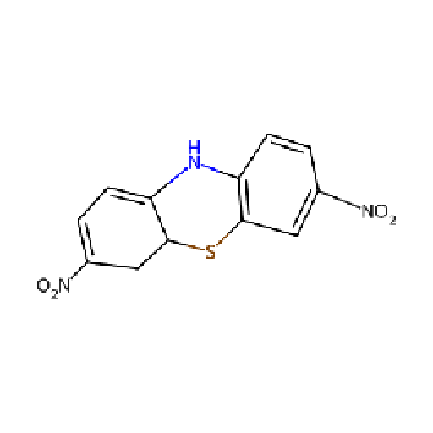 O=[N+]([O-])C1=CC=C2Nc3ccc([N+](=O)[O-])cc3SC2C1